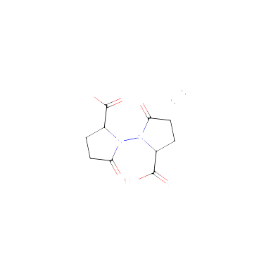 O=C(O)C1CCC(=O)N1N1C(=O)CCC1C(=O)O.[NaH].[NaH]